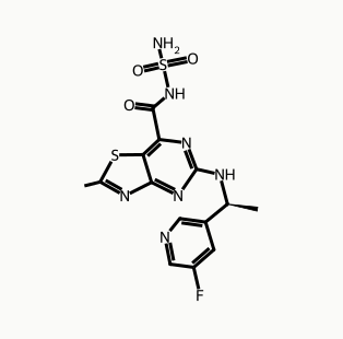 Cc1nc2nc(N[C@@H](C)c3cncc(F)c3)nc(C(=O)NS(N)(=O)=O)c2s1